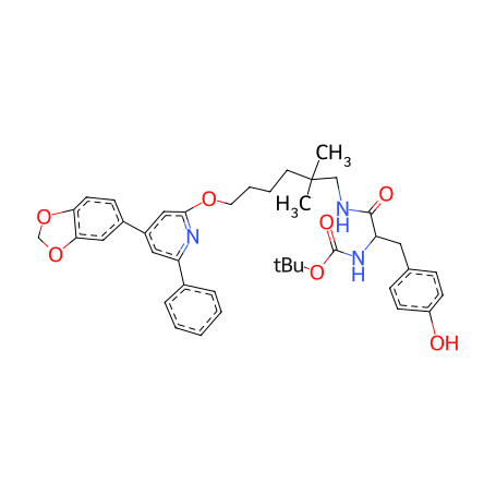 CC(C)(CCCCOc1cc(-c2ccc3c(c2)OCO3)cc(-c2ccccc2)n1)CNC(=O)C(Cc1ccc(O)cc1)NC(=O)OC(C)(C)C